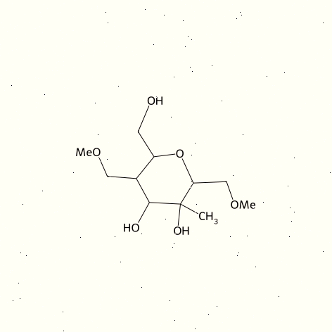 COCC1C(CO)OC(COC)C(C)(O)C1O